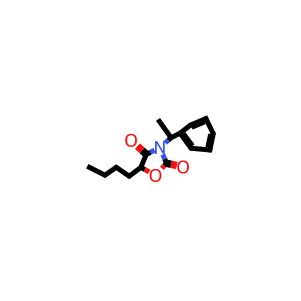 CCCCC1OC(=O)N(C(C)c2ccccc2)C1=O